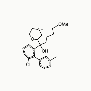 COCCCCC(O)(c1cccc(Cl)c1-c1cccc(C)c1)C1CNCCO1